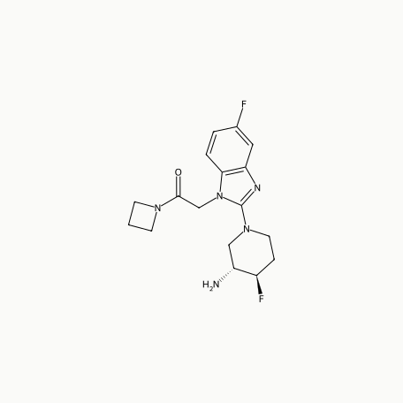 N[C@@H]1CN(c2nc3cc(F)ccc3n2CC(=O)N2CCC2)CC[C@H]1F